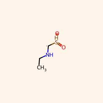 CCN[CH][SH](=O)=O